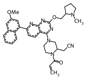 C=CC(=O)N1CCN(c2nc(OCC3CCCN3C)nc3nc(-c4cc(OC)cc5ccccc45)ccc23)CC1CC#N